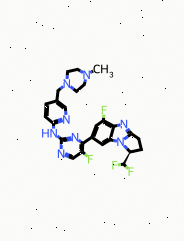 CN1CCN(Cc2ccc(Nc3ncc(F)c(-c4cc(F)c5nc6n(c5c4)[C@H](C(F)F)CC6)n3)nc2)CC1